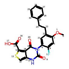 COc1cc(F)c(-n2c(=O)[nH]c3csc(C(=O)O)c3c2=O)cc1CCc1ccccc1